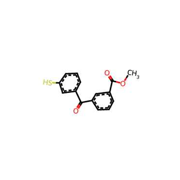 COC(=O)c1cccc(C(=O)c2cccc(S)c2)c1